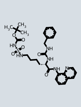 CC(C)(C)OC(=O)NS(=O)(=O)NCCCC[C@H](NC(=O)NCc1ccccc1)C(=O)Nc1cccc2cccnc12